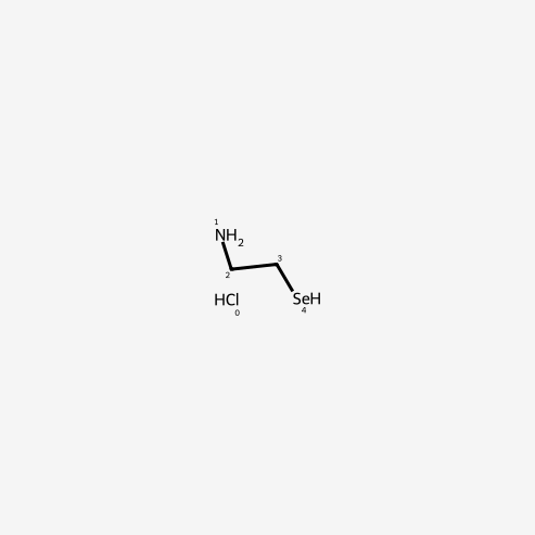 Cl.NCC[SeH]